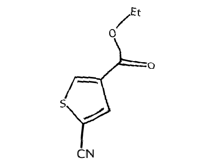 CCOC(=O)c1csc(C#N)c1